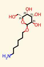 NCCCCCCOC1O[C@H](CO)[C@H](O)[C@H](O)[C@H]1O